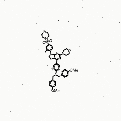 COc1ccc(CN(Cc2ccc(OC)cc2)c2ncc(-c3nc(N4CCOCC4)nc4c3CCN4c3ccc(S(=O)(=O)N4CCOCC4)cc3C)cn2)cc1